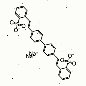 O=S(=O)([O-])c1ccccc1/C=C/c1ccc(-c2ccc(/C=C/c3ccccc3S(=O)(=O)[O-])cc2)cc1.[Na+].[Na+]